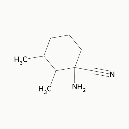 CC1CCCC(N)(C#N)C1C